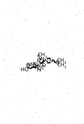 COc1c(Nc2cc(CC(=O)O)[nH]n2)nc(SC)nc1N1CCN(CCN(C)C)CC1